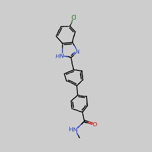 CNC(=O)c1ccc(-c2ccc(-c3nc4cc(Cl)ccc4[nH]3)cc2)cc1